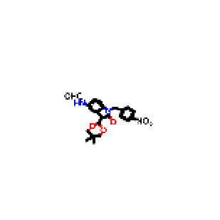 CC1(C)COC(C2C(=O)N(Cc3ccc([N+](=O)[O-])cc3)c3ccc(NC=O)cc32)OC1